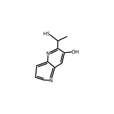 CC(S)c1nc2cccnc2cc1O